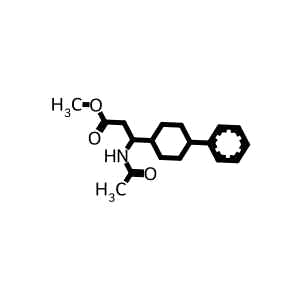 COC(=O)CC(NC(C)=O)C1CCC(c2ccccc2)CC1